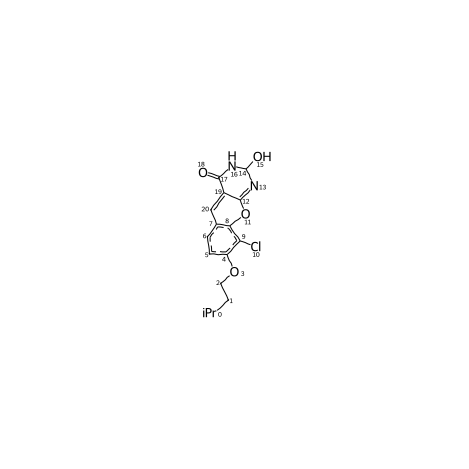 CC(C)CCOc1ccc2c(c1Cl)OC1=NC(O)NC(=O)C1=C2